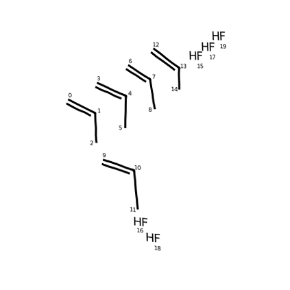 C=CC.C=CC.C=CC.C=CC.C=CC.F.F.F.F.F